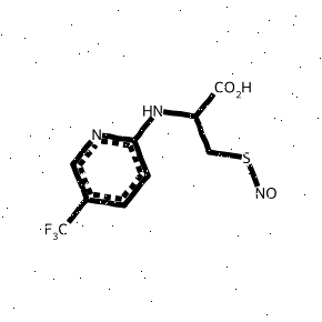 O=NSCC(Nc1ccc(C(F)(F)F)cn1)C(=O)O